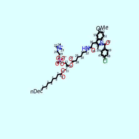 CCCCCCCCCCCCCCCCCC(=O)OC[C@H](COP(=O)([O-])OCC[N+](C)(C)C)OC(=O)CCCCCNC(=O)Cc1c(C)n(C(=O)c2ccc(Cl)cc2)c2ccc(OC)cc12